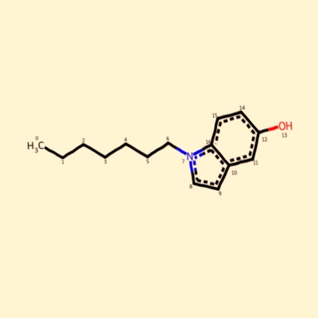 CCCCCCCn1ccc2cc(O)ccc21